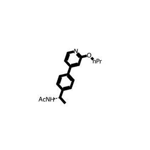 CCCOc1cc(-c2ccc([C@H](C)NC(C)=O)cc2)ccn1